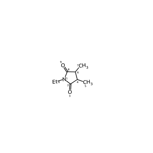 CCN1C(=O)C(C)C(C)C1=O